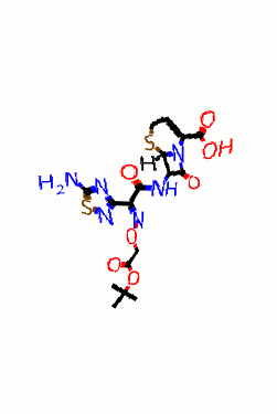 CC(C)(C)OC(=O)CON=C(C(=O)NC1C(=O)N2C(C(=O)O)=CCS[C@@H]12)c1nsc(N)n1